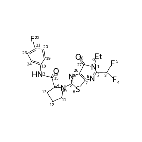 CCn1c(C(F)F)nc2sc(N3CCCC3C(=O)Nc3ccc(F)cc3)nc2c1=O